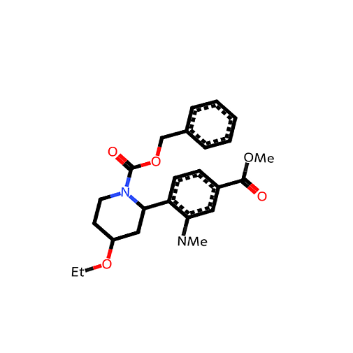 CCOC1CCN(C(=O)OCc2ccccc2)C(c2ccc(C(=O)OC)cc2NC)C1